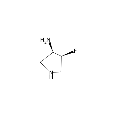 N[C@@H]1CNC[C@@H]1F